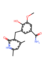 COc1cc(C(N)=O)cc(Cc2c(C)cc(C)[nH]c2=O)c1O